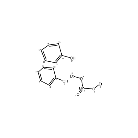 CCO[PH](=O)OCC.Oc1ccccc1.Oc1ccccc1